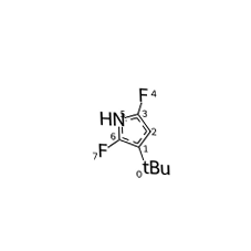 CC(C)(C)c1cc(F)[nH]c1F